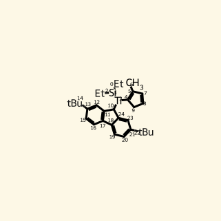 CC[Si](CC)=[Ti]([C]1=C(C)C=CC1)[CH]1c2cc(C(C)(C)C)ccc2-c2ccc(C(C)(C)C)cc21